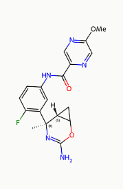 COc1cnc(C(=O)Nc2ccc(F)c([C@]3(C)N=C(N)OC4C[C@H]43)c2)cn1